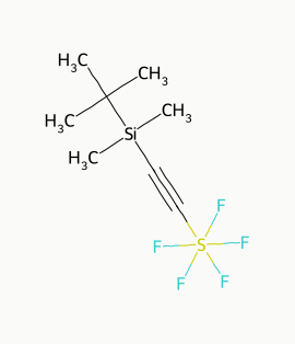 CC(C)(C)[Si](C)(C)C#CS(F)(F)(F)(F)F